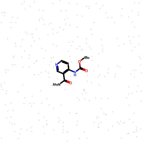 CNC(=O)c1cnccc1NC(=O)OC(C)(C)C